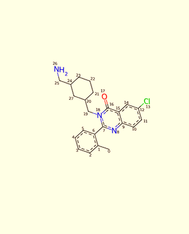 Cc1ccccc1-c1nc2ccc(Cl)cc2c(=O)n1CC1CCCC(CN)C1